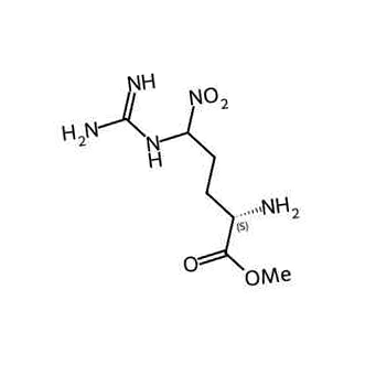 COC(=O)[C@@H](N)CCC(NC(=N)N)[N+](=O)[O-]